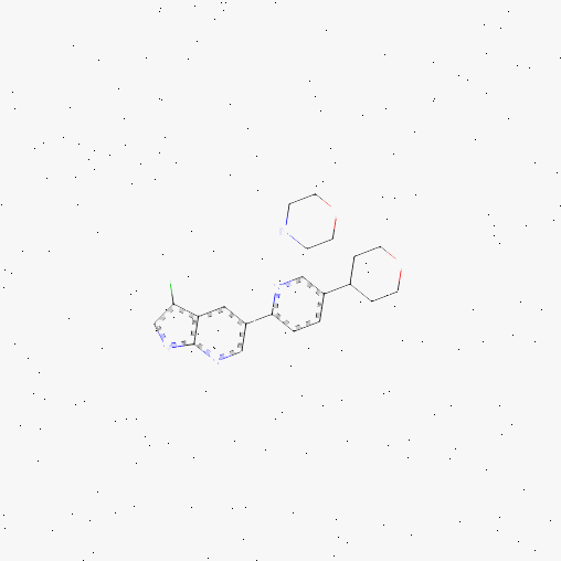 Clc1c[nH]c2ncc(-c3ccc(C4CCOCC4)c([C@H]4COCCN4)n3)cc12